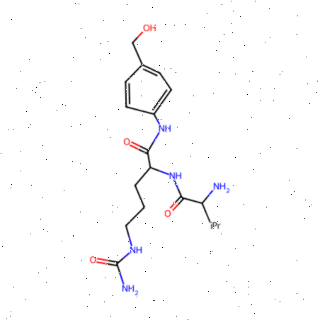 CC(C)C(N)C(=O)NC(CCCNC(N)=O)C(=O)Nc1ccc(CO)cc1